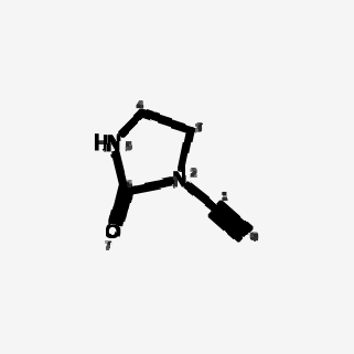 C#CN1CCNC1=O